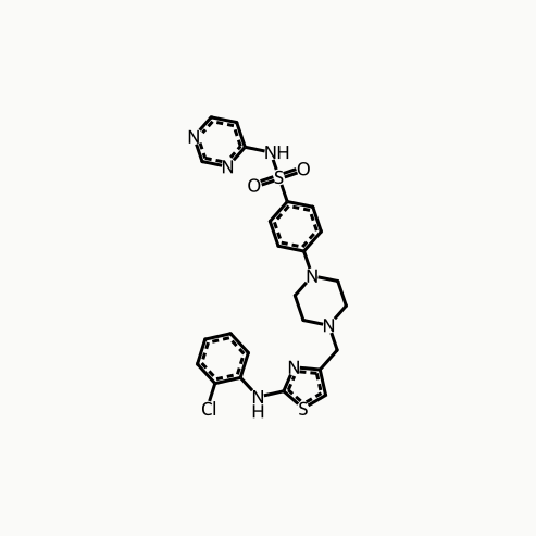 O=S(=O)(Nc1ccncn1)c1ccc(N2CCN(Cc3csc(Nc4ccccc4Cl)n3)CC2)cc1